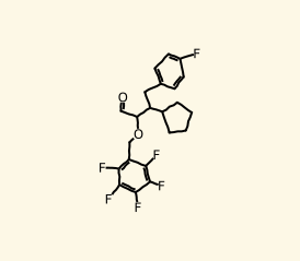 O=CC(OCc1c(F)c(F)c(F)c(F)c1F)C(Cc1ccc(F)cc1)C1CCCC1